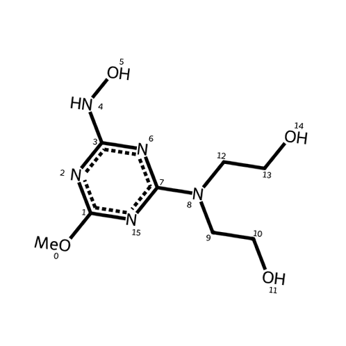 COc1nc(NO)nc(N(CCO)CCO)n1